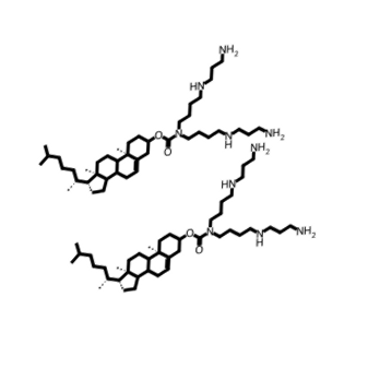 CC(C)CCC[C@@H](C)[C@H]1CCC2C3CC=C4CC(OC(=O)N(CCCCNCCCN)CCCCNCCCN)CC[C@]4(C)C3CC[C@@]21C.CC(C)CCC[C@@H](C)[C@H]1CCC2C3CC=C4CC(OC(=O)N(CCCCNCCCN)CCCCNCCCN)CC[C@]4(C)C3CC[C@@]21C